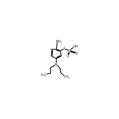 CCCN(CCC)c1ccc(N)c(SS(=O)(=O)O)c1